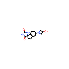 O=C1NC(=O)C2(CCc3cc(N4CC(O)C4)ccc32)N1